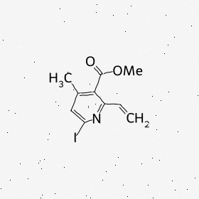 C=Cc1nc(I)cc(C)c1C(=O)OC